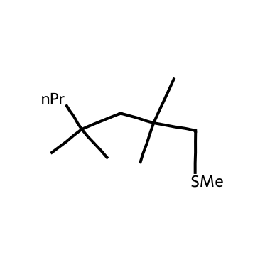 CCCC(C)(C)CC(C)(C)CSC